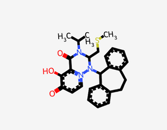 CSCC1N(C(C)C)C(=O)c2c(O)c(=O)ccn2N1C1c2ccccc2CCc2ccccc21